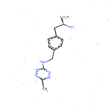 Cc1nnc(NCc2ccc(C[C@H](N)C(=O)O)cc2)nn1